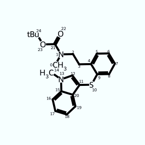 CN(CCc1ccccc1Sc1cn(C)c2ccccc12)C(=O)OC(C)(C)C